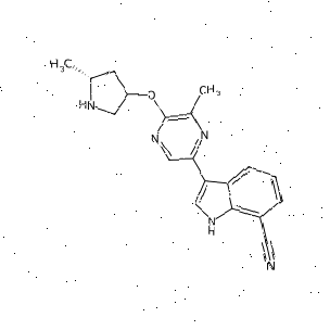 Cc1nc(-c2c[nH]c3c(C#N)cccc23)cnc1OC1CN[C@H](C)C1